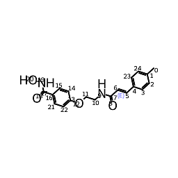 Cc1ccc(/C=C/C(=O)NCCOc2ccc(C(=O)NO)cc2)cc1